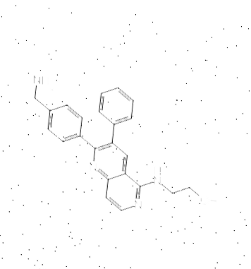 NCc1ccc(-c2nc3ccnc(NCCO)c3cc2-c2ccccc2)cc1